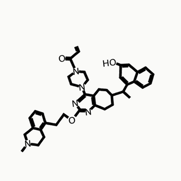 C=CC(=O)N1CCN(c2nc(OCCc3cccc4c3CCN(C)C4)nc3c2CCC(C(C)c2cc(O)cc4ccccc24)CC3)CC1